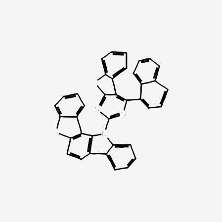 c1ccc2c(-c3nc(-n4c5ccccc5c5ccc6sc7ccccc7c6c54)nc4sc5ccccc5c34)cccc2c1